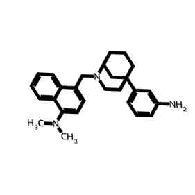 CN(C)c1ccc(CN2CCC3(c4cccc(N)c4)CCCC2C3)c2ccccc12